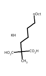 CCCCCCCCCCCCC(C)(C(=O)O)C(=O)O.[KH]